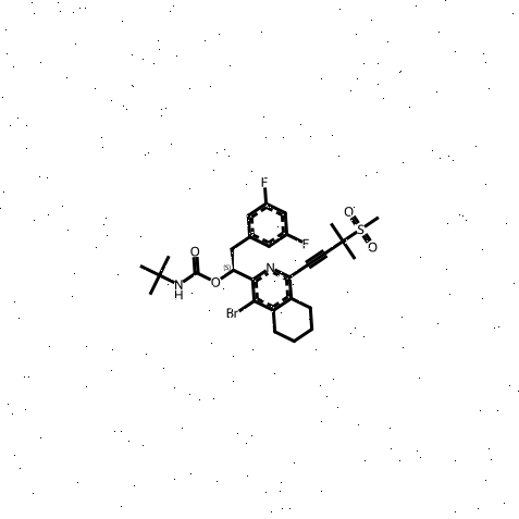 CC(C)(C)NC(=O)O[C@@H](Cc1cc(F)cc(F)c1)c1nc(C#CC(C)(C)S(C)(=O)=O)c2c(c1Br)CCCC2